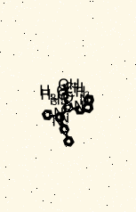 CC(C)(O)C(C)(C)OBc1cc(-c2ccc3ccc4cccnc4c3n2)cc(-c2nc(-c3ccccc3)nc(-c3ccc(-c4ccccc4)cc3)n2)c1